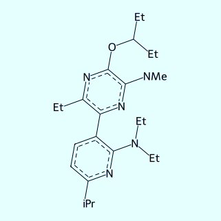 CCc1nc(OC(CC)CC)c(NC)nc1-c1ccc(C(C)C)nc1N(CC)CC